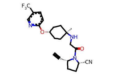 C#C[C@H]1CC[C@@H](C#N)N1C(=O)CN[C@]1(C)CC[C@@H](Oc2ccc(C(F)(F)F)cn2)CC1